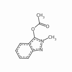 CC(=O)Oc1c2ccccc2nn1C